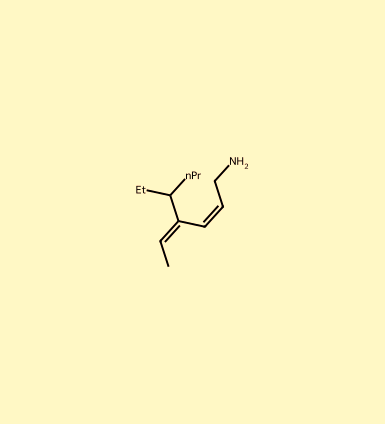 C/C=C(\C=C/CN)C(CC)CCC